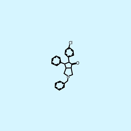 O=C1C2CN(Cc3ccccc3)CC2C(c2ccccc2)C1c1ccc(Cl)cc1